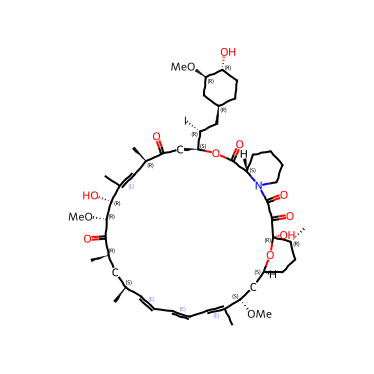 CO[C@H]1C[C@@H]2CC[C@@H](C)[C@@](O)(O2)C(=O)C(=O)N2CCCC[C@H]2C(=O)O[C@H]([C@H](I)C[C@@H]2CC[C@@H](O)[C@H](OC)C2)CC(=O)[C@H](C)/C=C(\C)[C@@H](O)[C@@H](OC)C(=O)[C@H](C)C[C@H](C)/C=C/C=C/C=C/1C